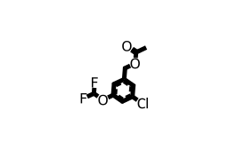 CC(=O)OCc1cc(Cl)cc(OC(F)F)c1